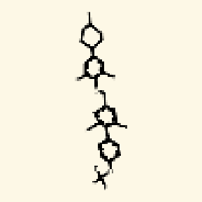 CC1CCC(c2cc(F)c(OCc3cc(F)c(-c4ccc(OC(F)(F)F)cc4)c(F)c3)c(F)c2)CC1